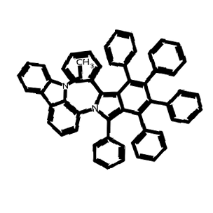 CCn1c2ccccc2c2cccc(-n3c(-c4ccccc4)c4c(-c5ccccc5)c(-c5ccccc5)c(-c5ccccc5)c(-c5ccccc5)c4c3-c3ccccc3)c21